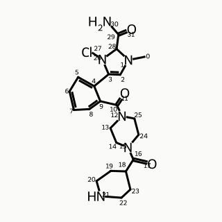 CN1C=C(c2ccccc2C(=O)N2CCN(C(=O)C3CCNCC3)CC2)N(Cl)C1C(N)=O